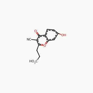 N#Cc1c(CCC(=O)O)oc2cc(O)ccc2c1=O